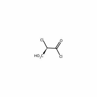 O=C(O)[C@@H](Cl)C(=O)Cl